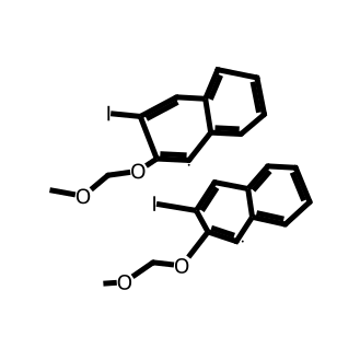 COCOc1[c]c2ccccc2cc1I.COCOc1[c]c2ccccc2cc1I